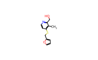 Cc1c(SCc2ccco2)ccnc1CO